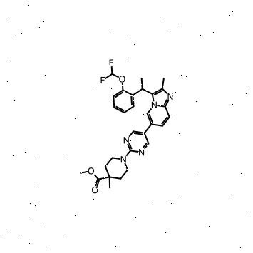 COC(=O)C1(C)CCN(c2ncc(-c3ccc4nc(C)c(C(C)c5ccccc5OC(F)F)n4c3)cn2)CC1